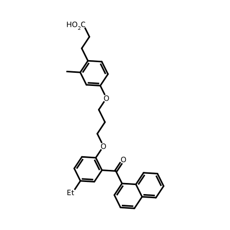 CCc1ccc(OCCCOc2ccc(CCC(=O)O)c(C)c2)c(C(=O)c2cccc3ccccc23)c1